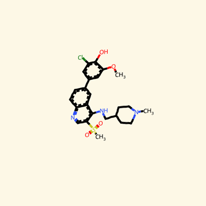 COc1cc(-c2ccc3ncc(S(C)(=O)=O)c(NCC4CCN(C)CC4)c3c2)cc(Cl)c1O